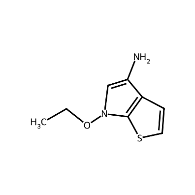 CCOn1cc(N)c2ccsc21